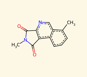 Cc1cccc2c3c(ncc12)C(=O)N(C)C3=O